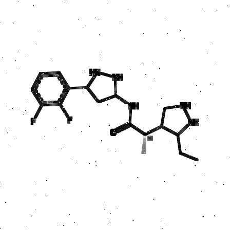 CCC1NNCC1[C@H](C)C(=O)NC1CC(c2cccc(F)c2F)NN1